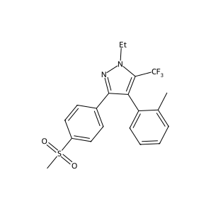 CCn1nc(-c2ccc(S(C)(=O)=O)cc2)c(-c2ccccc2C)c1C(F)(F)F